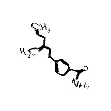 C=C(CCC)CCc1ccc(C(N)=O)cc1